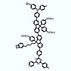 CCCCCCc1ccc(C2(CCCCCc3ccc4c(c3)CC4)c3cc(-c4ccc(-c5nc(-c6ccccc6)nc(-c6ccc(C)cc6)n5)cc4)ccc3-c3ccc(-c4ccc5c(c4)C(c4ccc(CCCCCC)cc4)(c4ccc(CCCCCC)cc4)c4cc(-c6ccc(N(c7ccc(C)cc7)c7ccc(C(C)CC)cc7)cc6)ccc4-5)cc32)cc1